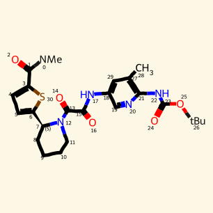 CNC(=O)c1ccc([C@@H]2CCCCN2C(=O)C(=O)Nc2cnc(NC(=O)OC(C)(C)C)c(C)c2)s1